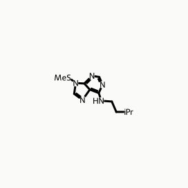 CSn1cnc2c(NCCC(C)C)ncnc21